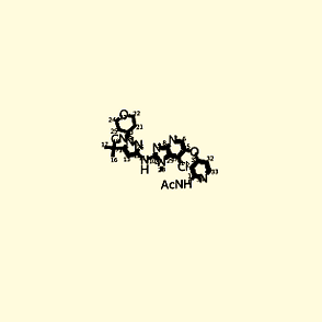 CC(=O)Nc1cc(Oc2cnc3nc(Nc4cc(C(C)(C)C#N)n(C5CCOCC5)n4)n(C)c3c2Cl)ccn1